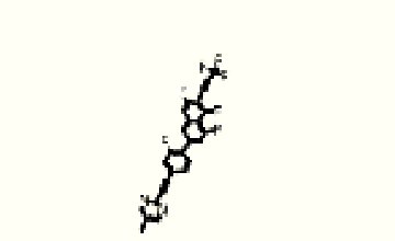 Cc1cnc(C#Cc2ccc(-c3cc(F)c4c(F)c(C#CC(F)(F)F)c(F)cc4c3)c(F)c2)nc1